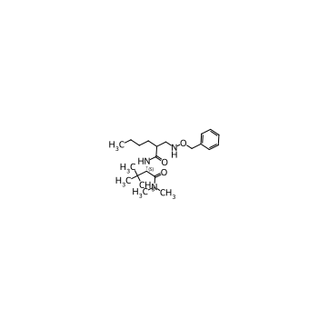 CCCCC(CNOCc1ccccc1)C(=O)N[C@H](C(=O)N(C)C)C(C)(C)C